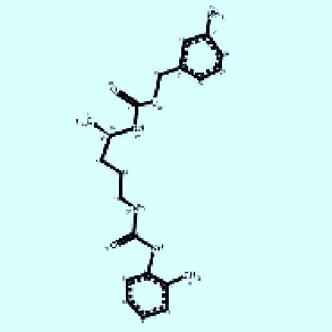 Cc1ccccc1NC(=O)NCCC[C@@H](C)NC(=O)OCc1cccc(N)c1